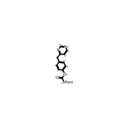 CCCCCC(=O)Oc1ccc(Cc2ccncn2)cc1